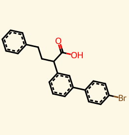 O=C(O)C(CCc1ccccc1)c1cccc(-c2ccc(Br)cc2)c1